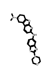 CN(C)[C@@H]1CCc2oc3nc(Nc4ccc5sc(N6CCOCC6)nc5c4)ccc3c2C1